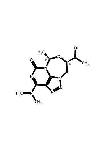 CC(O)[C@H]1Cn2nnc3c(N(C)C)nc(=O)n(c32)[C@@H](C)O1